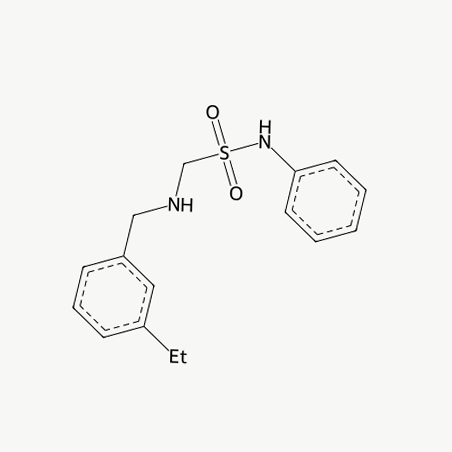 CCc1cccc(CNCS(=O)(=O)Nc2ccccc2)c1